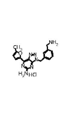 Cc1ccc(-c2nc(N)nc3c2nnn3Cc2cccc(CN)c2)o1.Cl